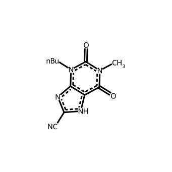 CCCCn1c(=O)n(C)c(=O)c2[nH]c(C#N)nc21